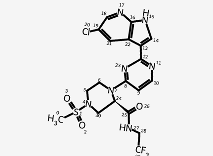 CS(=O)(=O)N1CCN(c2ccnc(-c3c[nH]c4ncc(Cl)cc34)n2)[C@@H](C(=O)NCC(F)(F)F)C1